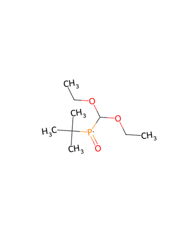 CCOC(OCC)[P](=O)C(C)(C)C